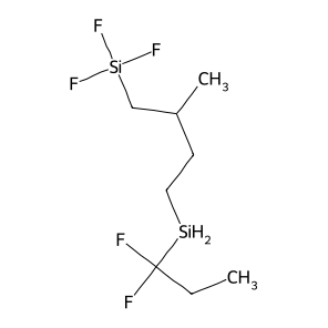 CCC(F)(F)[SiH2]CCC(C)C[Si](F)(F)F